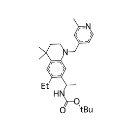 CCc1cc2c(cc1C(C)NC(=O)OC(C)(C)C)N(Cc1ccnc(C)c1)CCC2(C)C